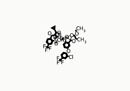 CCOC(=O)C(C)OC(=O)c1cc(Oc2ccc(C(F)(F)F)cc2Cl)ccc1[N+](=O)[O-].CS(=O)(=O)c1cc(C(F)(F)F)ccc1C(=O)c1cnoc1C1CC1